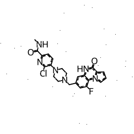 CNC(=O)c1ccc(N2CCN(Cc3cc(F)c4c(c3)[nH]c(=O)c3cccn34)CC2)c(Cl)n1